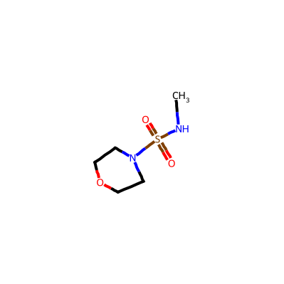 CNS(=O)(=O)N1CCOCC1